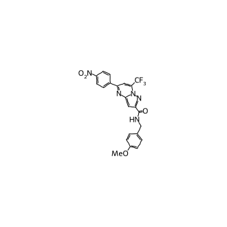 COc1ccc(CNC(=O)c2cc3nc(-c4ccc([N+](=O)[O-])cc4)cc(C(F)(F)F)n3n2)cc1